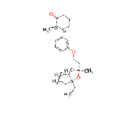 CC[Si](CC)(CC)OC(C)(C)CCOc1cccc([C@H]2CCCC(=O)[C@@H]2C)c1